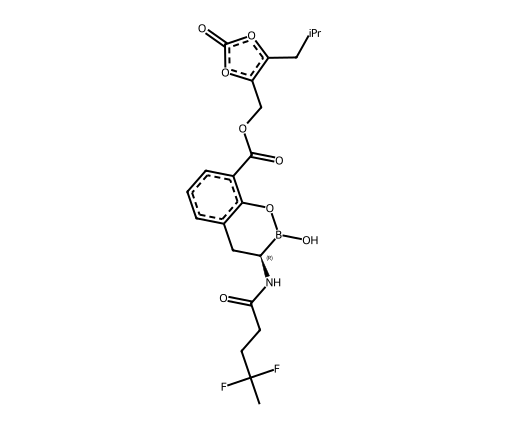 CC(C)Cc1oc(=O)oc1COC(=O)c1cccc2c1OB(O)[C@@H](NC(=O)CCC(C)(F)F)C2